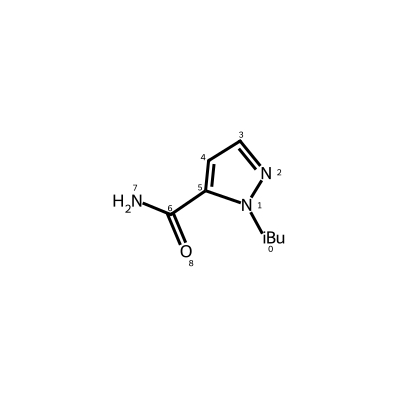 CCC(C)n1nccc1C(N)=O